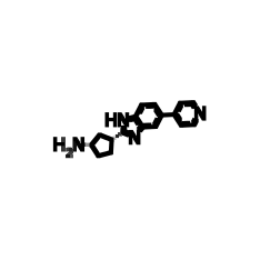 N[C@H]1CC[C@@H](c2nc3cc(-c4ccncc4)ccc3[nH]2)C1